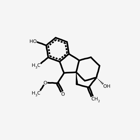 C=C1C[C@]23C[C@@]1(O)CCC2c1ccc(O)c(C)c1C3C(=O)OC